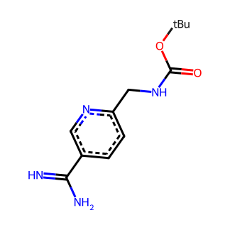 CC(C)(C)OC(=O)NCc1ccc(C(=N)N)cn1